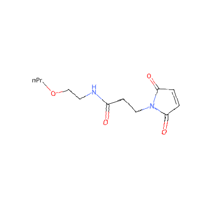 CCCOCCNC(=O)CCN1C(=O)C=CC1=O